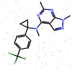 Cc1nc(N(C)C2(c3ccc(C(F)(F)F)cc3)CC2)c2cnn(C)c2n1